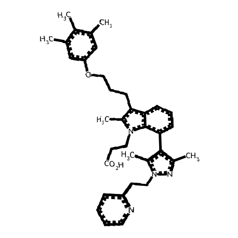 Cc1cc(OCCCc2c(C)n(CCC(=O)O)c3c(-c4c(C)nn(CCc5ccccn5)c4C)cccc23)cc(C)c1C